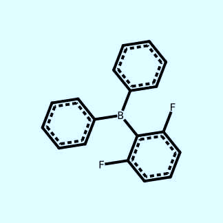 Fc1cccc(F)c1B(c1ccccc1)c1ccccc1